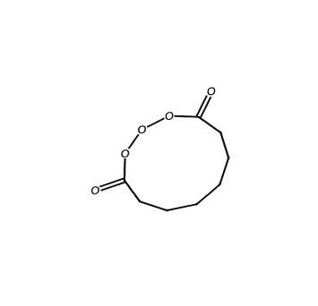 O=C1CCCCCCC(=O)OOO1